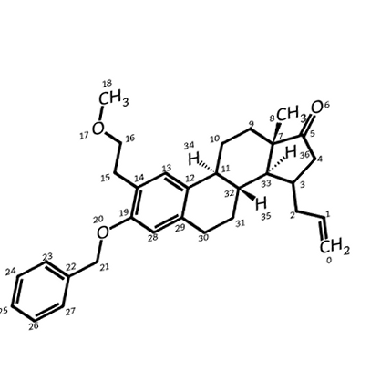 C=CCC1CC(=O)[C@@]2(C)CC[C@@H]3c4cc(CCOC)c(OCc5ccccc5)cc4CC[C@H]3[C@H]12